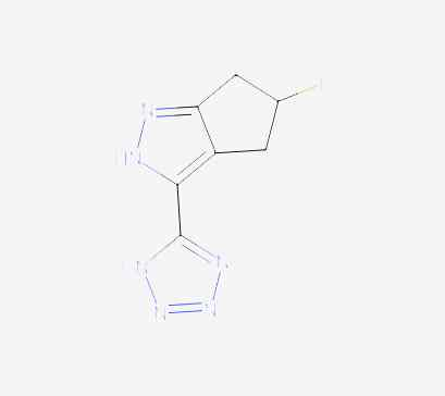 FC1Cc2n[nH]c(-c3nnn[nH]3)c2C1